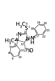 CSC1=N[C@@](C)(c2ccccc2)C(C=O)N1Nc1ccccc1